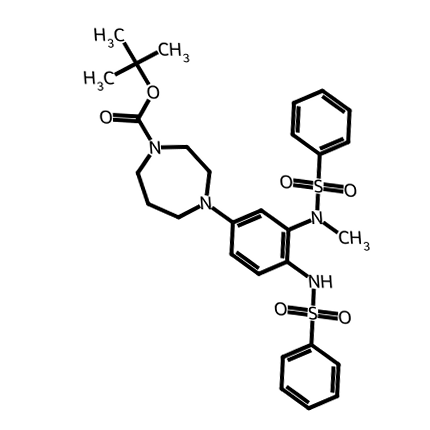 CN(c1cc(N2CCCN(C(=O)OC(C)(C)C)CC2)ccc1NS(=O)(=O)c1ccccc1)S(=O)(=O)c1ccccc1